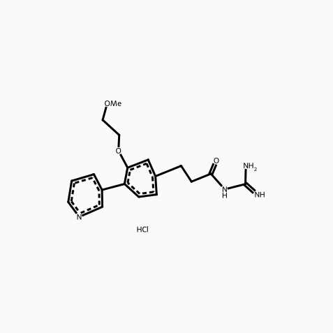 COCCOc1cc(CCC(=O)NC(=N)N)ccc1-c1cccnc1.Cl